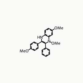 COc1ccc(C2=C(c3ccccc3)N(OC)c3cc(OC)ccc3N2)cc1